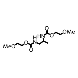 COCCOC(=O)NCC(C)NC(=O)OCCOC